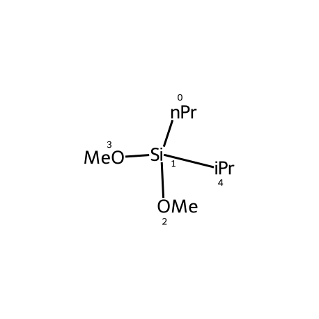 CCC[Si](OC)(OC)C(C)C